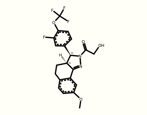 COc1ccc2c(c1)C1=NN(C(=O)CO)[C@H](c3ccc(OC(F)(F)F)c(F)c3)[C@@H]1CC2